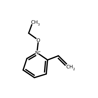 C=Cc1cccc[n+]1OCC